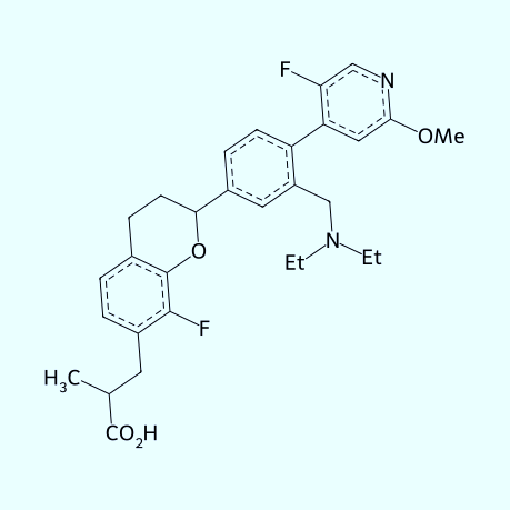 CCN(CC)Cc1cc(C2CCc3ccc(CC(C)C(=O)O)c(F)c3O2)ccc1-c1cc(OC)ncc1F